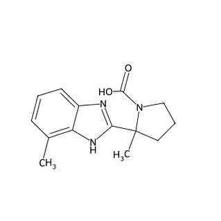 Cc1cccc2nc(C3(C)CCCN3C(=O)O)[nH]c12